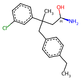 CCc1ccc(CC(C)(C[C@H](N)O)c2cccc(Cl)c2)cc1